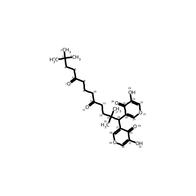 CC(C)(C)CCC(=O)CCCC(=O)CCC(C)(C)C(c1cocc(O)c1=O)c1cocc(O)c1=O